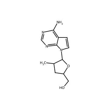 CC1CC(CO)OC1n1ccc2c(N)ncnc21